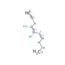 C#CC/C(F)=C(F)\C=C/CCC